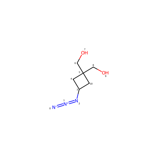 [N-]=[N+]=NC1CC(CO)(CO)C1